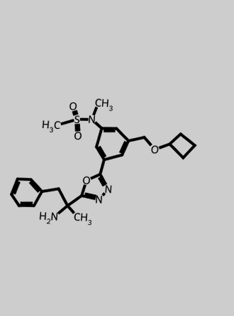 CN(c1cc(COC2CCC2)cc(-c2nnc(C(C)(N)Cc3ccccc3)o2)c1)S(C)(=O)=O